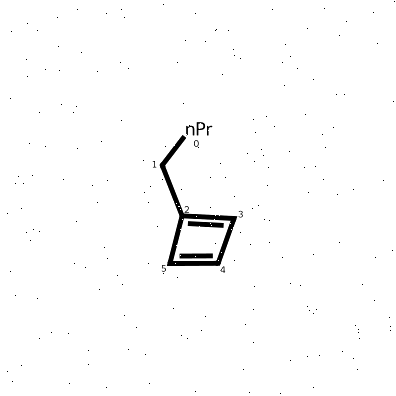 CCCCC1=CC=C1